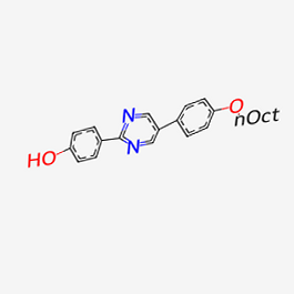 CCCCCCCCOc1ccc(-c2cnc(-c3ccc(O)cc3)nc2)cc1